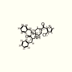 O=C(c1sccc1Cl)N1CCC2(CC1)NC(Cc1ccccc1)C(=O)N2Cc1ccccc1